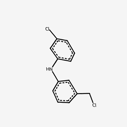 ClCc1cccc(Nc2cccc(Cl)c2)c1